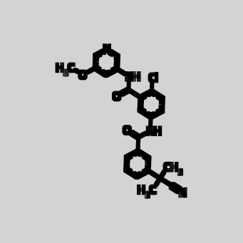 COc1cncc(NC(=O)c2cc(NC(=O)c3cccc(C(C)(C)C#N)c3)ccc2Cl)c1